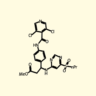 CCCS(=O)(=O)c1cc(NC(CC(=O)OC)c2ccc(NC(=O)c3c(Cl)cncc3Cl)cc2)ncn1